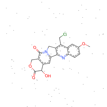 COc1ccc2nc3c(c(CCl)c2c1)Cn1c-3cc2c(c1=O)COC(=O)C2O